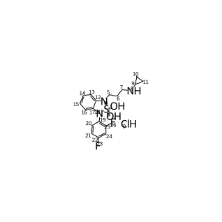 Cl.OS1(O)N(CCCNC2CC2)c2ccccc2N1c1ccc(F)cc1F